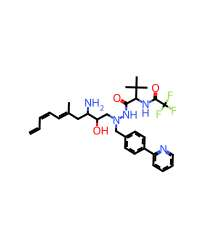 C=C/C=C\C=C(/C)CC(N)C(O)CN(Cc1ccc(-c2ccccn2)cc1)NC(=O)C(NC(=O)C(F)(F)F)C(C)(C)C